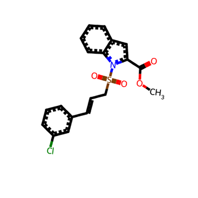 COC(=O)c1cc2ccccc2n1S(=O)(=O)CC=Cc1cccc(Cl)c1